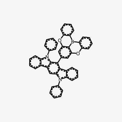 c1ccc(-n2c3ccccc3c3c(-c4cc5c6c(c4)Oc4ccccc4B6c4ccccc4O5)c4c(cc32)c2ccccc2n4-c2ccccc2)cc1